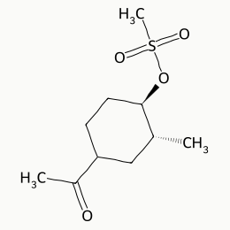 CC(=O)C1CC[C@@H](OS(C)(=O)=O)[C@H](C)C1